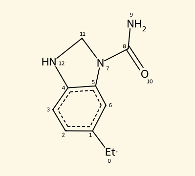 C[CH]c1ccc2c(c1)N(C(N)=O)CN2